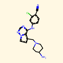 N#Cc1ccc(Nc2ncnn3ccc(CN4CCC(N)CC4)c23)cc1Cl